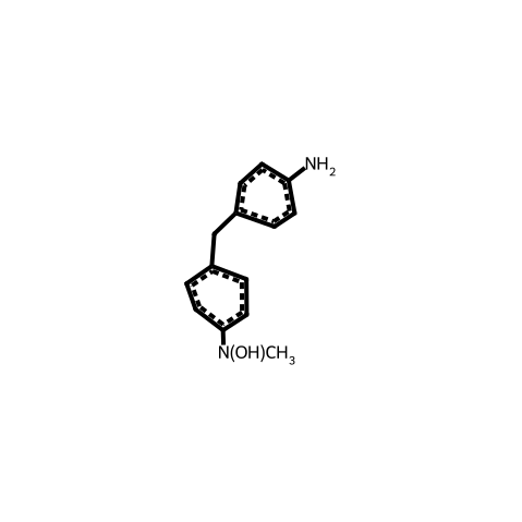 CN(O)c1ccc(Cc2ccc(N)cc2)cc1